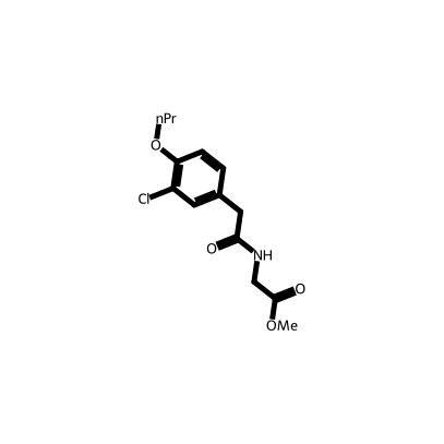 CCCOc1ccc(CC(=O)NCC(=O)OC)cc1Cl